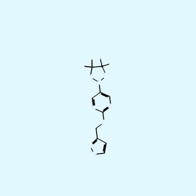 CC1(C)OB(c2cnc(OCc3ccon3)nc2)OC1(C)C